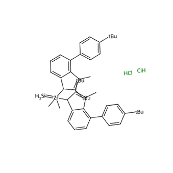 CC1=C(C(C)(C)C)[CH]([Zr]([CH3])([CH3])(=[SiH2])[CH]2C(C(C)(C)C)=C(C)c3c(-c4ccc(C(C)(C)C)cc4)cccc32)c2cccc(-c3ccc(C(C)(C)C)cc3)c21.Cl.Cl